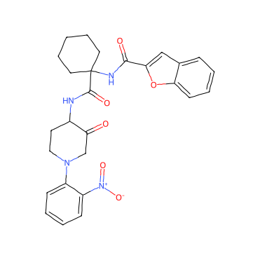 O=C(NC1(C(=O)NC2CCN(c3ccccc3[N+](=O)[O-])CC2=O)CCCCC1)c1cc2ccccc2o1